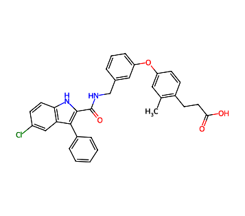 Cc1cc(Oc2cccc(CNC(=O)c3[nH]c4ccc(Cl)cc4c3-c3ccccc3)c2)ccc1CCC(=O)O